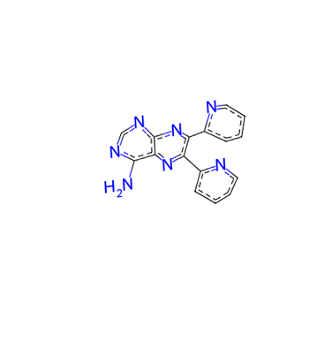 Nc1ncnc2nc(-c3ccccn3)c(-c3ccccn3)nc12